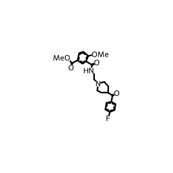 COC(=O)c1ccc(OC)c(C(=O)NCCN2CCC(C(=O)c3ccc(F)cc3)CC2)c1